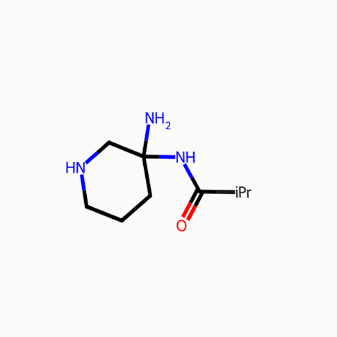 CC(C)C(=O)NC1(N)CCCNC1